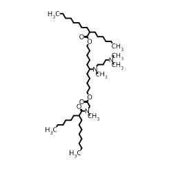 CCCCCCCCC(CCCCCC)C(=O)OCCCCCC(CCCCCOC(=O)CN(C)C(=O)C(CCCCCC)CCCCCCCC)N(C)CCCN(C)C